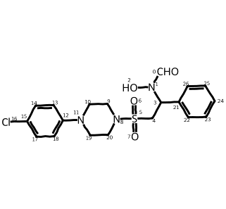 O=CN(O)C(CS(=O)(=O)N1CCN(c2ccc(Cl)cc2)CC1)c1ccccc1